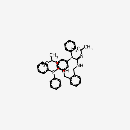 CC(C)/N=C(/NCc1ccccc1CN/C(=N/C(C)C)P(c1ccccc1)c1ccccc1)P(c1ccccc1)c1ccccc1